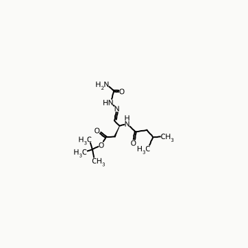 CC(C)CC(=O)N[C@H](/C=N/NC(N)=O)CC(=O)OC(C)(C)C